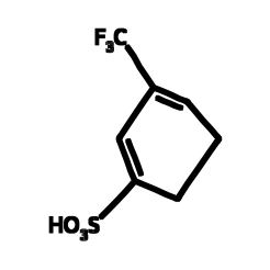 O=S(=O)(O)C1=CC(C(F)(F)F)=CCC1